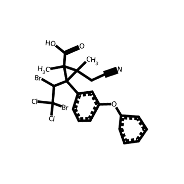 CC1(CC#N)C(C)(C(=O)O)C1(c1cccc(Oc2ccccc2)c1)C(Br)C(Cl)(Cl)Br